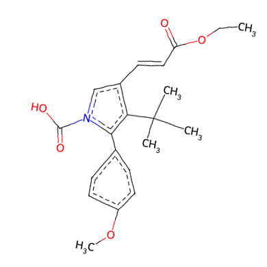 CCOC(=O)C=Cc1cn(C(=O)O)c(-c2ccc(OC)cc2)c1C(C)(C)C